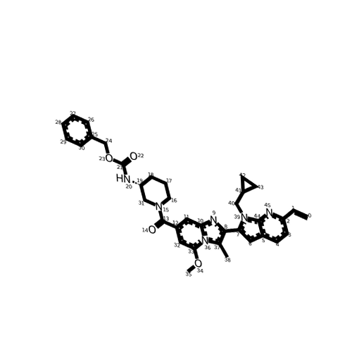 C=Cc1ccc2cc(-c3nc4cc(C(=O)N5CCC[C@@H](NC(=O)OCc6ccccc6)C5)cc(OC)n4c3C)n(CC3CC3)c2n1